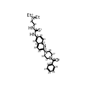 CCN(CC)CCNC(=S)Nc1ccc2nc(N3CCN(C(=O)c4ccccc4)CC3)ccc2c1